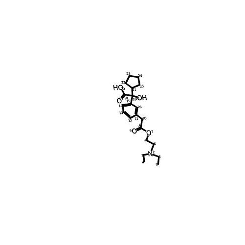 CCN(CC)CCOC(=O)Cc1cccc(C(O)(C(=O)O)C2CCCC2)c1